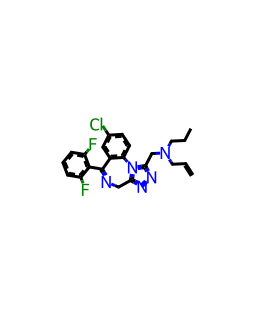 C=CCN(CCC)Cc1nnc2n1-c1ccc(Cl)cc1C(c1c(F)cccc1F)=NC2